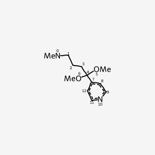 CNCCCC(OC)(OC)c1ccncc1